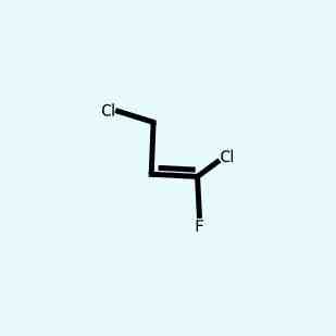 F/C(Cl)=C/CCl